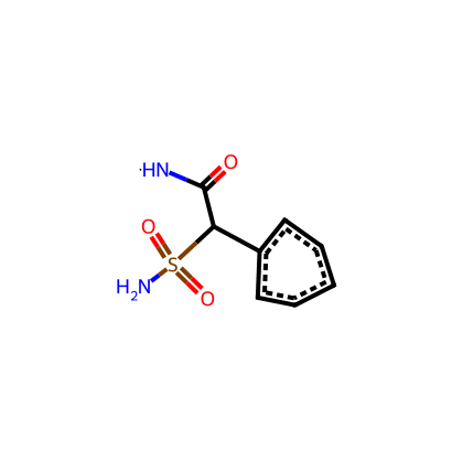 [NH]C(=O)C(c1ccccc1)S(N)(=O)=O